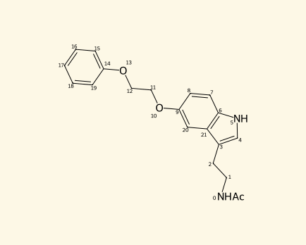 CC(=O)NCCc1c[nH]c2ccc(OCCOc3ccccc3)cc12